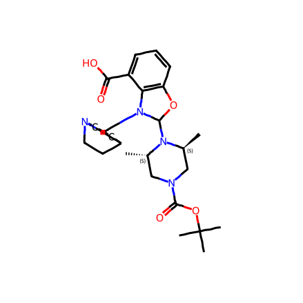 C[C@H]1CN(C(=O)OC(C)(C)C)C[C@H](C)N1C1Oc2cccc(C(=O)O)c2N1C1CN2CCC1CC2